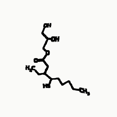 CCCCCC(S)C(CC)CC(=O)OCC(O)CO